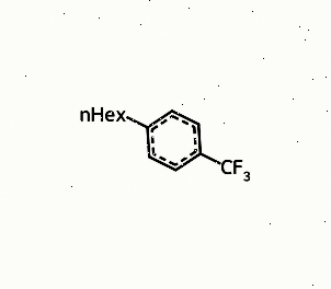 [CH]CCCCCc1ccc(C(F)(F)F)cc1